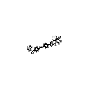 O=C(c1ccc(C#Cc2ccc(-c3cn(Cc4nc[nH]c(=O)c4O)c(=O)o3)cc2)cc1)N1CCOCC1